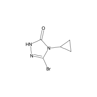 O=c1[nH]nc(Br)n1C1CC1